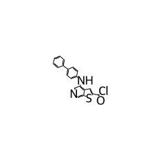 O=C(Cl)c1cc2c(Nc3ccc(-c4ccccc4)cc3)cncc2s1